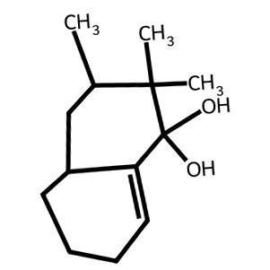 CC1CC2CCCC=C2C(O)(O)C1(C)C